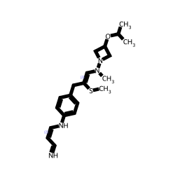 CS/C(=C\N(C)N1CC(OC(C)C)C1)Cc1ccc(N/C=C\C=N)cc1